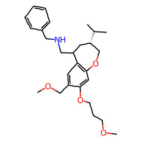 COCCCOc1cc2c(cc1COC)C(CNCc1ccccc1)C[C@H](C(C)C)CO2